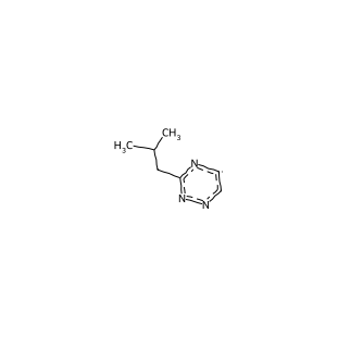 CC(C)Cc1n[c]cnn1